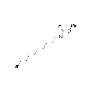 CC(C)(C)OC(=O)NCCCCCCCCCBr